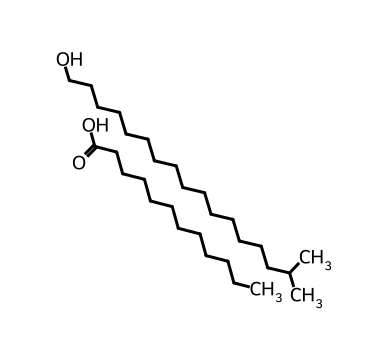 CC(C)CCCCCCCCCCCCCCCO.CCCCCCCCCCCC(=O)O